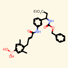 CCOC(=O)CC(NC(=O)OCc1ccccc1)c1cccc(NC(=O)/C=C/Cc2c(C)cc(B(O)O)cc2C)c1